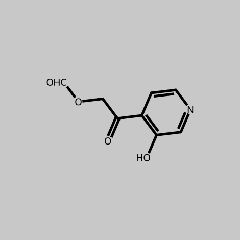 O=COCC(=O)c1ccncc1O